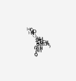 CC(C)(C)NS(=O)(=O)c1cc(NC(=O)NCc2ccccc2)ccc1-c1sc(C2CCC(NC(=O)O)CC2)nc1F